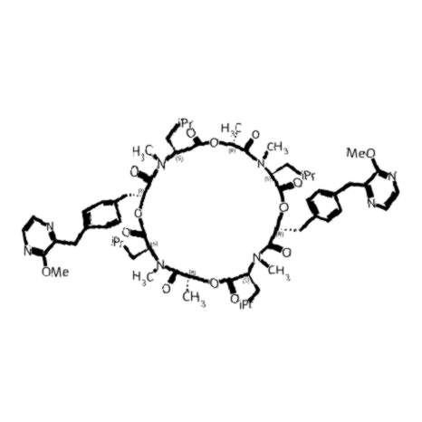 COc1nccnc1Cc1ccc(C[C@H]2OC(=O)[C@H](CC(C)C)N(C)C(=O)[C@@H](C)OC(=O)[C@H](CC(C)C)N(C)C(=O)[C@@H](Cc3ccc(Cc4nccnc4OC)cc3)OC(=O)[C@H](CC(C)C)N(C)C(=O)[C@@H](C)OC(=O)[C@H](CC(C)C)N(C)C2=O)cc1